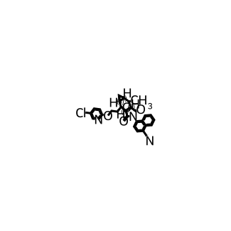 CC12OC(CCOc3ccc(Cl)cn3)([C@@H]3C(=O)N(c4ccc(C#N)c5ccccc45)C(=O)[C@@H]31)[C@H]1C[C@H]12